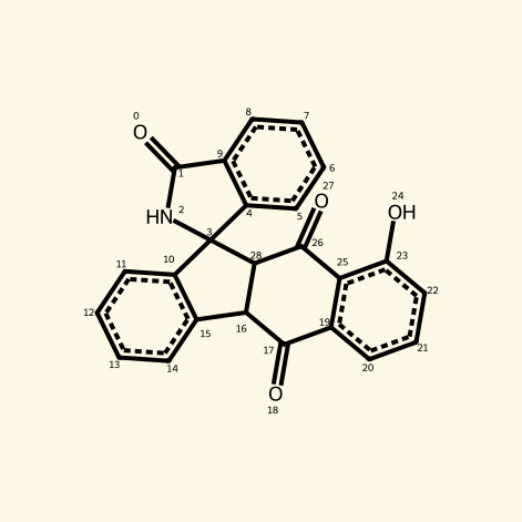 O=C1NC2(c3ccccc31)c1ccccc1C1C(=O)c3cccc(O)c3C(=O)C12